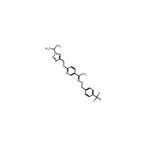 C/C(=N\OCc1ccc(C(F)(F)F)cc1)c1ccc(OCc2nnn(C(C)C)n2)nc1